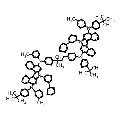 Cc1ccc(N(c2ccc(C(C)(C)C)cc2)c2cc3c(c4ccccc24)c2c4ccccc4c(N(c4ccc(CCC(C)(C)c5ccc(N(c6cccc(C)c6)c6cc7c(c8ccccc68)c6c8ccccc8c(N(c8ccc(C(C)(C)C)cc8)c8cccc(C)c8)cc6n7-c6cccc(-c7ccccc7)c6)cc5)cc4)c4ccc(C(C)(C)C)cc4)cc2n3-c2cccc(-c3ccccc3)c2)cc1